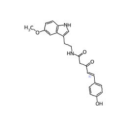 COc1ccc2[nH]cc(CCNC(=O)CC(=O)/C=C/c3ccc(O)cc3)c2c1